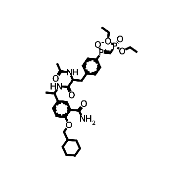 CCOP(=O)(/C=[P+](\[O-])c1ccc(CC(NC(C)=O)C(=O)NC(C)c2ccc(OCC3CCCCC3)c(C(N)=O)c2)cc1)OCC